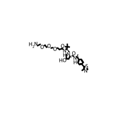 Cc1ncsc1-c1ccc([C@H](C)NC(=O)[C@@H]2C[C@@H](O)CN2C[C@@H](NC(=O)CCOCCOCCOCCN)C(C)(C)C)cc1